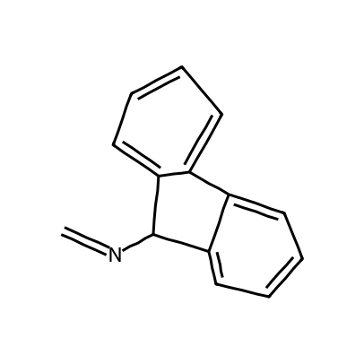 C=NC1c2ccccc2-c2ccccc21